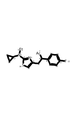 CCN(c1nc(CC(C(C)=O)c2ccc(F)cc2)cs1)C1CC1